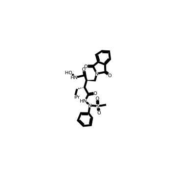 CC(C)C[C@@H](C(=O)NN(c1ccccc1)S(C)(=O)=O)[C@H](CN1C(=O)c2ccccc2C1=O)C(=O)NO